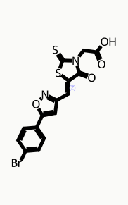 O=C(O)CN1C(=O)/C(=C/c2cc(-c3ccc(Br)cc3)on2)SC1=S